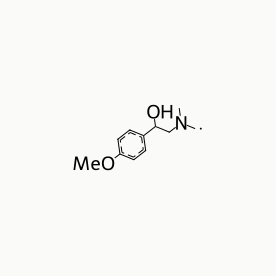 [CH2]N(C)CC(O)c1ccc(OC)cc1